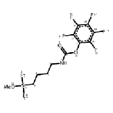 CC[Si](CC)(CCCCNC(=O)Oc1c(F)c(F)c(F)c(F)c1F)OC